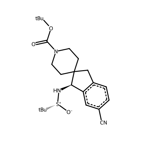 CC(C)(C)OC(=O)N1CCC2(CC1)Cc1ccc(C#N)cc1[C@H]2N[S@+]([O-])C(C)(C)C